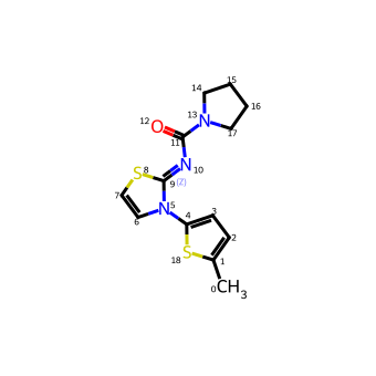 Cc1ccc(-n2ccs/c2=N\C(=O)N2CCCC2)s1